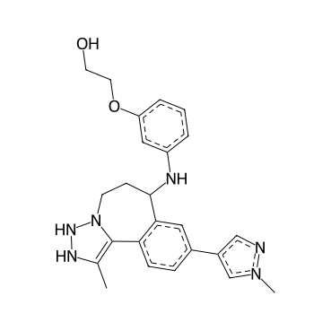 CC1=C2c3ccc(-c4cnn(C)c4)cc3C(Nc3cccc(OCCO)c3)CCN2NN1